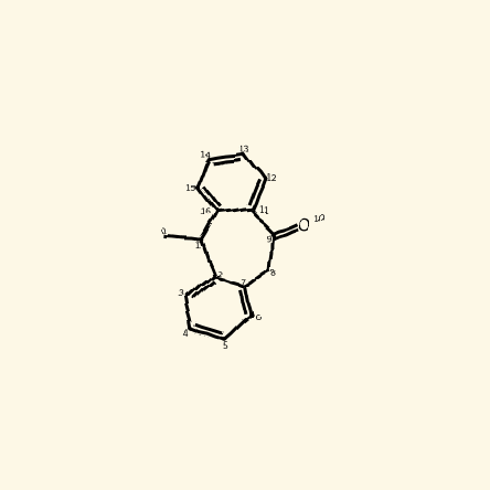 CC1c2ccccc2CC(=O)c2ccccc21